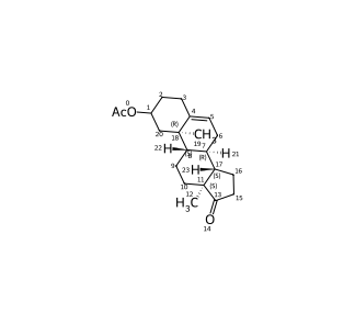 CC(=O)OC1CCC2=CC[C@@H]3[C@H](CC[C@]4(C)C(=O)CC[C@@H]34)[C@@]2(C)C1